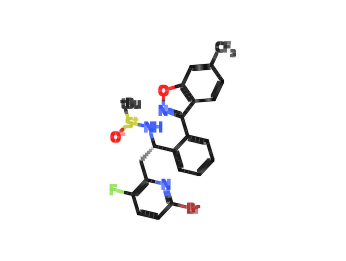 CC(C)(C)[S+]([O-])N[C@@H](Cc1nc(Br)ccc1F)c1ccccc1-c1noc2cc(C(F)(F)F)ccc12